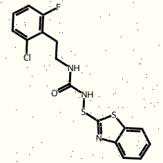 O=C(NCCc1c(F)cccc1Cl)NSc1nc2ccccc2s1